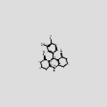 O=C1CCCC2=C1C(c1ccc(F)c(Cl)c1)C1=C(CCCC1=O)N2